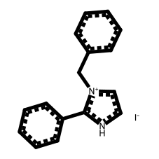 [I-].c1ccc(C[n+]2cc[nH]c2-c2ccccc2)cc1